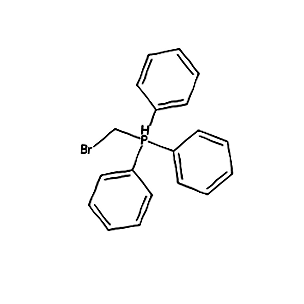 BrC[PH](c1ccccc1)(c1ccccc1)c1ccccc1